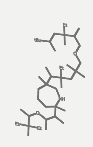 CCC(C)(CC(C)C(C)(C)C)C(C)COCC(C)(C)CC(C)(CC)C(C)C1(C)CCCC(C)(C(C)C(C)OC(C)C(C)(CC)CC)NC1